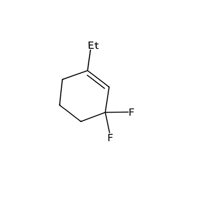 CCC1=CC(F)(F)CCC1